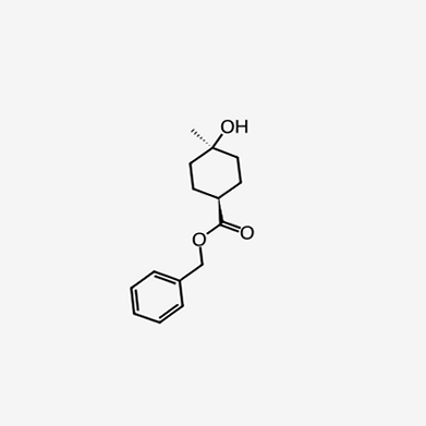 C[C@]1(O)CC[C@@H](C(=O)OCc2ccccc2)CC1